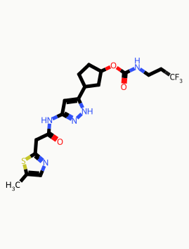 Cc1cnc(CC(=O)Nc2cc(C3CCC(OC(=O)NCCC(F)(F)F)C3)[nH]n2)s1